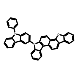 c1ccc(-n2c3ccccc3c3cc(-n4c5ccccc5c5c6ccc7c8ccccc8oc7c6ccc54)ccc32)cc1